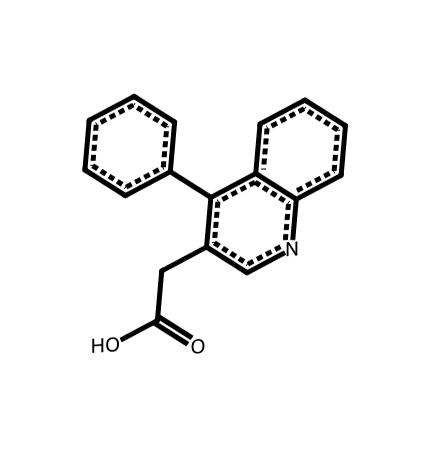 O=C(O)Cc1cnc2ccccc2c1-c1ccccc1